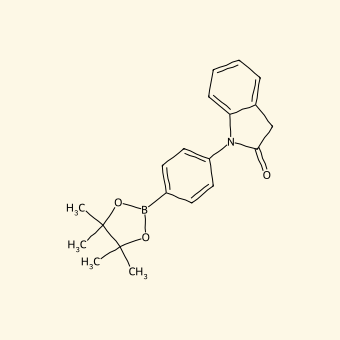 CC1(C)OB(c2ccc(N3C(=O)Cc4ccccc43)cc2)OC1(C)C